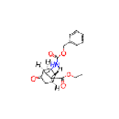 CCOC(=O)[C@@H]1[C@H]2CC[C@H](C(=O)C2)[C@H]1NC(=O)OCc1ccccc1